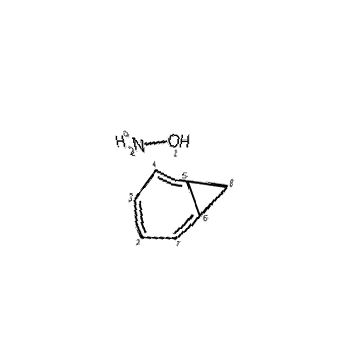 NO.c1ccc2c(c1)C2